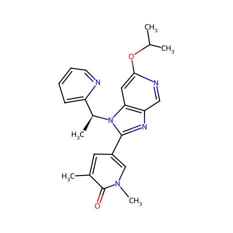 Cc1cc(-c2nc3cnc(OC(C)C)cc3n2[C@@H](C)c2ccccn2)cn(C)c1=O